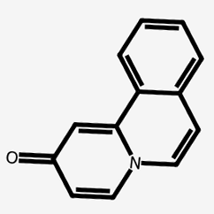 O=c1ccn2ccc3ccccc3c2c1